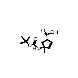 CC(C)(C)OC(=O)N[C@@]1(C)C=C[C@@H](C(=O)O)C1